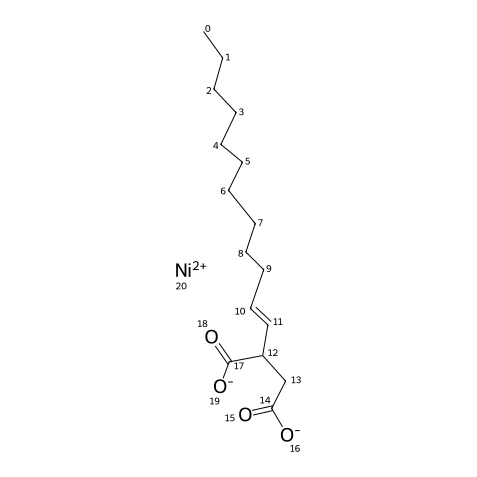 CCCCCCCCCCC=CC(CC(=O)[O-])C(=O)[O-].[Ni+2]